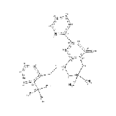 CC1(C)CN(CCc2ccccc2C(F)(F)F)c2nc(-c3ccncn3)cc(=O)n2C1